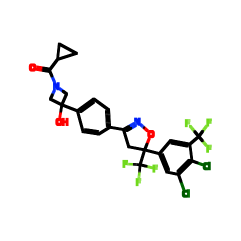 O=C(C1CC1)N1CC(O)(c2ccc(C3=NOC(c4cc(Cl)c(Cl)c(C(F)(F)F)c4)(C(F)(F)F)C3)cc2)C1